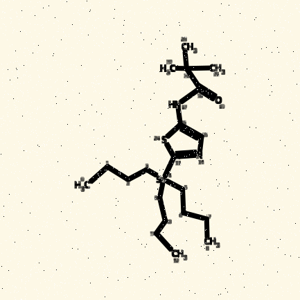 CCC[CH2][Sn]([CH2]CCC)([CH2]CCC)[c]1ncc(NC(=O)C(C)(C)C)s1